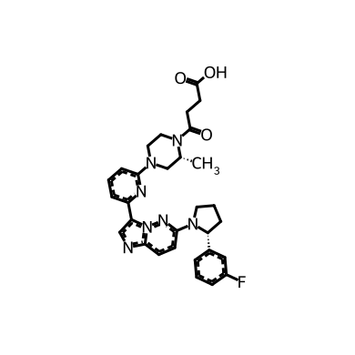 C[C@@H]1CN(c2cccc(-c3cnc4ccc(N5CCC[C@@H]5c5cccc(F)c5)nn34)n2)CCN1C(=O)CCC(=O)O